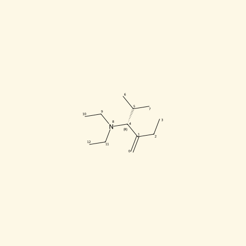 C=C(CC)[C@@H](C(C)C)N(CC)CC